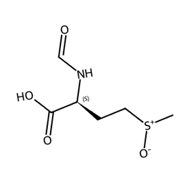 C[S+]([O-])CC[C@H](NC=O)C(=O)O